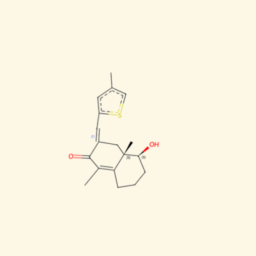 CC1=C2CCC[C@H](O)[C@@]2(C)C/C(=C\c2cc(C)cs2)C1=O